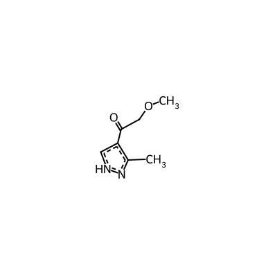 COCC(=O)c1c[nH]nc1C